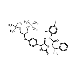 C[C@@H](c1ccccc1)[C@@H](C(=O)Nc1ccc(I)cc1F)N1C(=O)NC(c2ccc(OC(CO[Si](C)(C)C)CO[Si](C)(C)C)cc2)C1=O